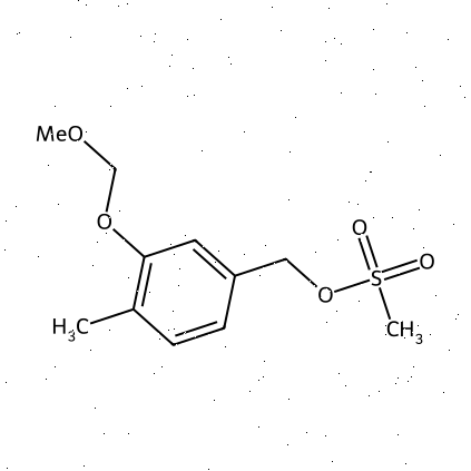 COCOc1cc(COS(C)(=O)=O)ccc1C